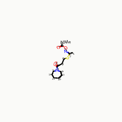 CNC(=O)ON=C(C)SCCC(=O)N1CCCCCC1